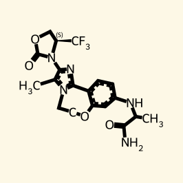 Cc1c(N2C(=O)OC[C@H]2C(F)(F)F)nc2n1CCOc1cc(NC(C)C(N)=O)ccc1-2